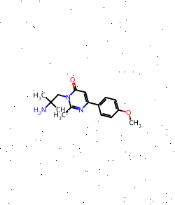 COc1ccc(-c2cc(=O)n(CC(C)(C)N)c(C)n2)cc1